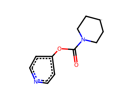 O=C(Oc1ccncc1)N1CC[CH]CC1